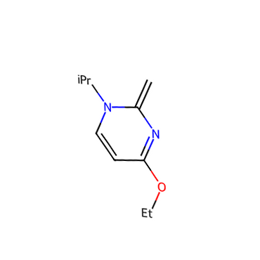 C=C1N=C(OCC)C=CN1C(C)C